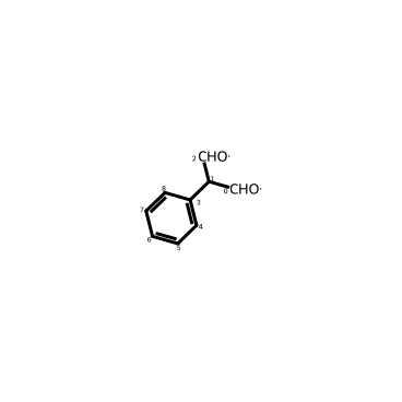 O=[C]C([C]=O)c1ccccc1